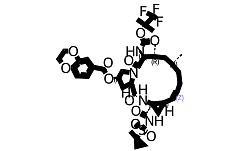 C[C@@H]1CC/C=C\[C@@H]2C[C@@]2(C(=O)NS(=O)(=O)C2(C)CC2)NC(=O)[C@@H]2C[C@@H](OC(=O)c3ccc4c(c3)OCCO4)CN2C(=O)[C@@H](NC(=O)OC(C)(C)C(F)(F)F)[C@H](C)C1